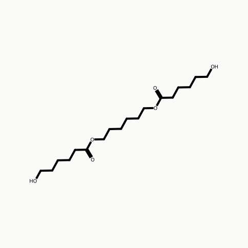 O=C(CCCCCO)OCCCCCCOC(=O)CCCCCO